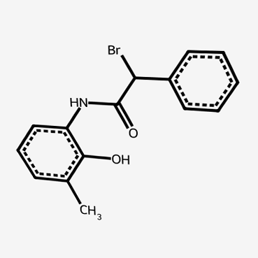 Cc1cccc(NC(=O)C(Br)c2ccccc2)c1O